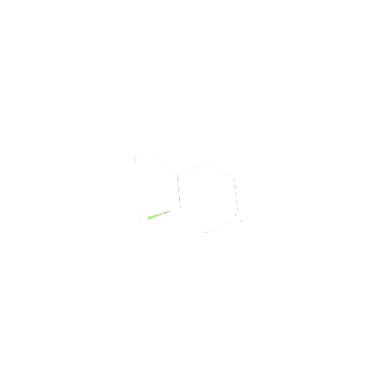 OC1CCNC[C@H]1F